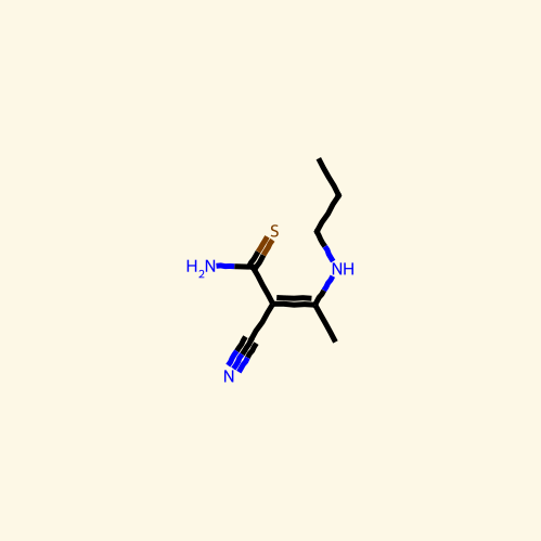 CCCNC(C)=C(C#N)C(N)=S